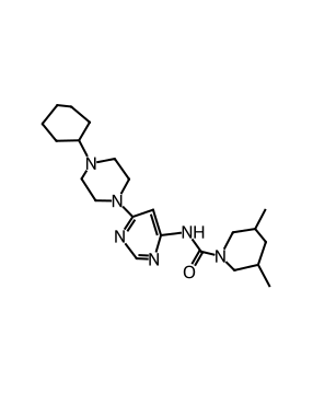 CC1CC(C)CN(C(=O)Nc2cc(N3CCN(C4CCCCC4)CC3)ncn2)C1